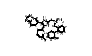 BN(Cc1nc(-c2cccc(C)n2)c(-c2ccc3ncnn3c2)[nH]1)Cc1ccccc1-c1ccccc1F